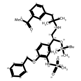 COC(=O)c1cccc(CC(C)(C)NC[C@@H](O[Si](C)(C)C(C)(C)C)c2ccc(OCc3ccccc3)c(NS(C)(=O)=O)c2)c1